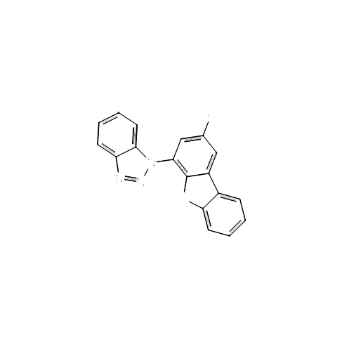 Clc1cc(-n2nnc3ccccc32)c2oc3ccccc3c2c1